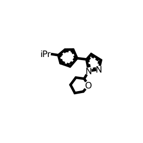 CC(C)c1ccc(-c2ccnn2C2CCCCO2)cc1